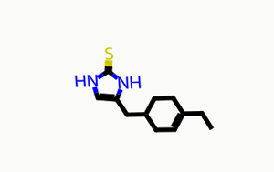 CCC1=CCC(Cc2c[nH]c(=S)[nH]2)CC1